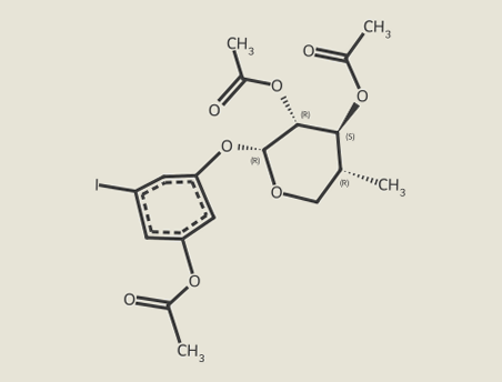 CC(=O)Oc1cc(I)cc(O[C@H]2OC[C@@H](C)[C@H](OC(C)=O)[C@H]2OC(C)=O)c1